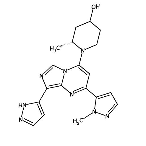 C[C@@H]1CC(O)CCN1c1cc(-c2ccnn2C)nc2c(-c3ccn[nH]3)ncn12